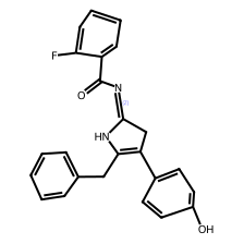 O=C(/N=C1/CC(c2ccc(O)cc2)=C(Cc2ccccc2)N1)c1ccccc1F